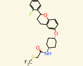 O=C(CSC(F)(F)F)N[C@H]1CC[C@H](Oc2ccc3c(c2)CCC(c2ccccc2F)O3)CC1